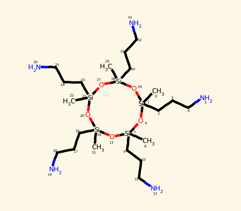 C[Si]1(CCCN)O[Si](C)(CCCN)O[Si](C)(CCCN)O[Si](C)(CCCN)O[Si](C)(CCCN)O1